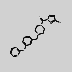 CC(=O)c1ccn(C(=O)N2CCN(Cc3cccc(Oc4ncccn4)c3)CC2)n1